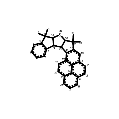 CC1(C)c2ccccc2C2C3c4c(cc5ccc6cccc7ccc4c5c67)C(C)(C)C3SC21